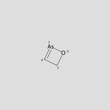 C1=[As]OC1